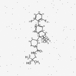 CC(C)(O)CNC(=O)N1CCCC(C23CCC(c4cc(-c5c(F)cccc5F)nnc42)C3(C)C)C1